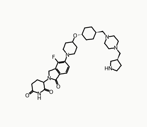 O=C1CCC(N2Cc3c(ccc(N4CCC(O[C@H]5CC[C@H](CN6CCN(C[C@H]7CCNC7)CC6)CC5)CC4)c3F)C2=O)C(=O)N1